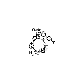 CCn1c(-c2cc(N3CCN(C4CC4)CC3)cnc2[C@H](C)OC)c2c3cc(ccc31)N1CCO[C@@H](C[C@H](N)C(=O)N3CCC[C@H](N3)C(=O)OCC(C)(C)C2)C1